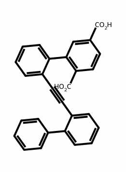 O=C(O)c1ccc(C(=O)O)c(-c2ccccc2C#Cc2ccccc2-c2ccccc2)c1